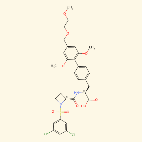 COCCOCc1cc(OC)c(-c2ccc(C[C@H](NC(=O)[C@@H]3CCN3S(=O)(=O)c3cc(Cl)cc(Cl)c3)C(=O)O)cc2)c(OC)c1